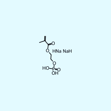 C=C(C)C(=O)OCCOP(=O)(O)O.[NaH].[NaH]